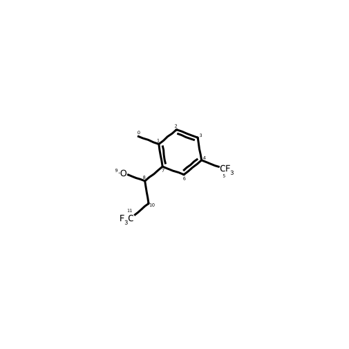 Cc1ccc(C(F)(F)F)cc1C([O])CC(F)(F)F